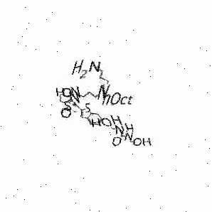 CCCCCCCCN(CCCN)CCCN.O=C(NCO)NCO.[O-][S+]1CCON=C1c1cc2ccccc2s1